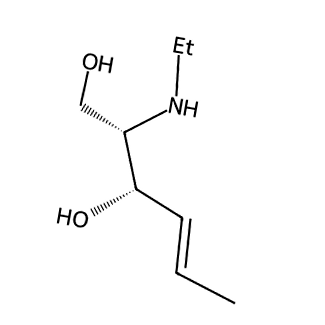 C/C=C/[C@H](O)[C@H](CO)NCC